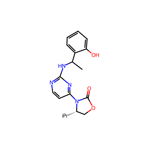 CC(Nc1nccc(N2C(=O)OC[C@@H]2C(C)C)n1)c1ccccc1O